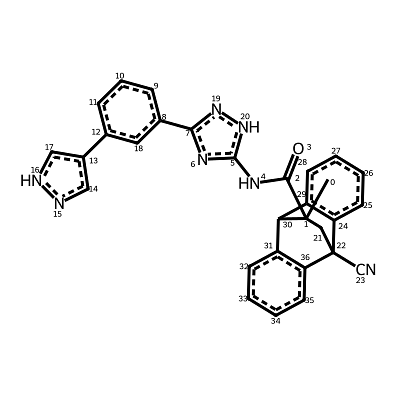 CC1(C(=O)Nc2nc(-c3cccc(-c4cn[nH]c4)c3)n[nH]2)CC2(C#N)c3ccccc3C1c1ccccc12